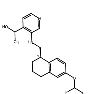 OC(O)c1ccncc1NC[C@@H]1CCCc2cc(OC(F)F)ccc21